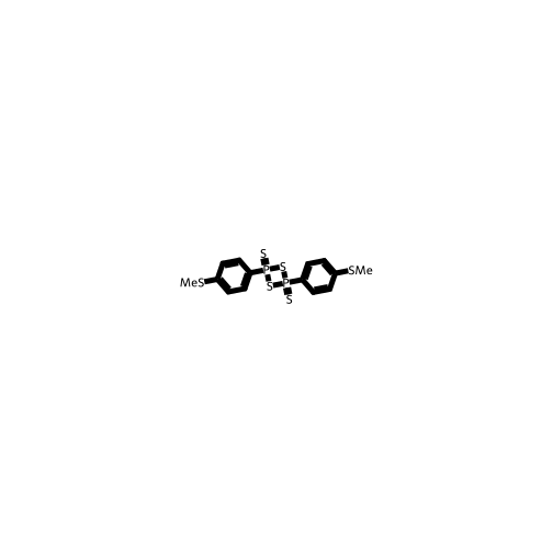 CSc1ccc(P2(=S)SP(=S)(c3ccc(SC)cc3)S2)cc1